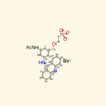 CC(=O)Nc1cc(COCCS(=O)(=O)[O-])cc(Nc2c3ccccc3nc3ccccc23)c1.[Na+]